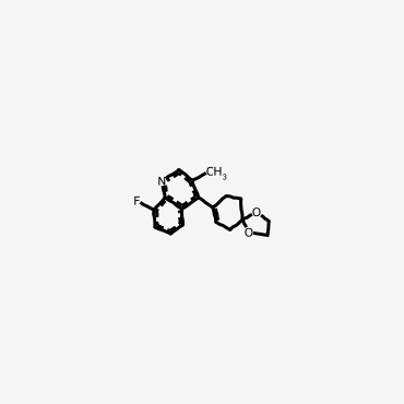 Cc1cnc2c(F)cccc2c1C1=CCC2(CC1)OCCO2